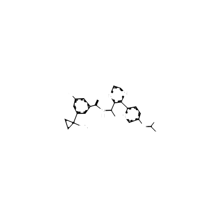 CC(NC(=O)c1cc(C(F)(F)F)cc(C2(C#N)CC2)c1)c1nccnc1-c1ccc(OC(F)F)cn1